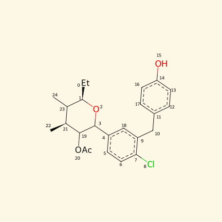 CC[C@H]1OC(c2ccc(Cl)c(Cc3ccc(O)cc3)c2)C(OC(C)=O)[C@@H](C)C1C